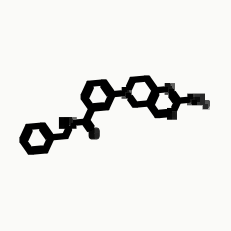 Nc1ncc2c(n1)CCN(c1cccc(C(=O)NCc3ccccc3)c1)C2